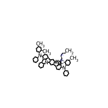 C=C/C=C\C=c1\c2c(N(c3ccccc3)c3ccc(C)cc3C)ccc3c4cc5c(cc4n1c23)c1ccc(N(c2ccccc2)c2ccc(C)cc2C)c2c3ccccc3n5c12